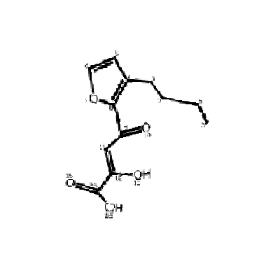 CCCCc1ccoc1C(=O)C=C(O)C(=O)O